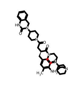 Cc1cc(C[C@@H](CC(=O)N2CCC(N3Cc4ccccc4NC3=O)CC2)C(=O)N2CCN(C3CN4CCC3CC4)CC2)cc(Cl)c1N